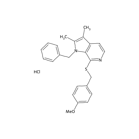 COc1ccc(CSc2nccc3c(C)c(C)n(Cc4ccccc4)c23)cc1.Cl